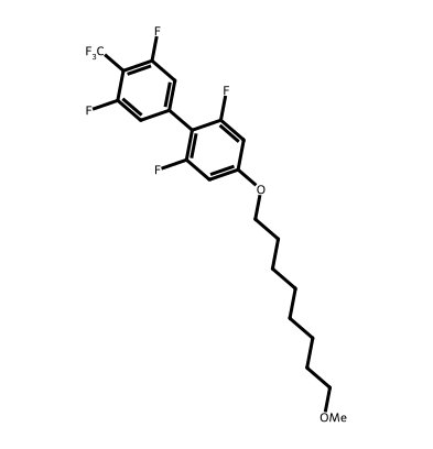 COCCCCCCCCOc1cc(F)c(-c2cc(F)c(C(F)(F)F)c(F)c2)c(F)c1